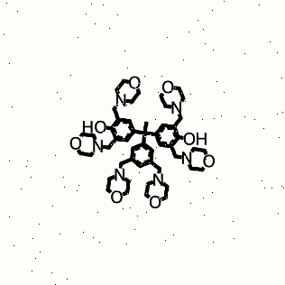 CC(c1cc(CN2CCOCC2)cc(CN2CCOCC2)c1)(c1cc(CN2CCOCC2)c(O)c(CN2CCOCC2)c1)c1cc(CN2CCOCC2)c(O)c(CN2CCOCC2)c1